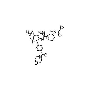 NC(=O)c1nnc(N2CCC[C@@H](NC(=O)C3CC3)C2)nc1Nc1ccc(C(=O)N2CCOCC2)cc1